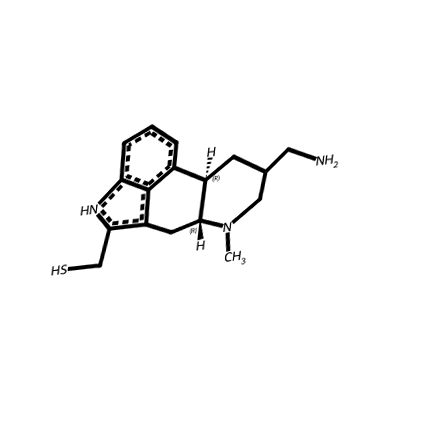 CN1CC(CN)C[C@@H]2c3cccc4[nH]c(CS)c(c34)C[C@H]21